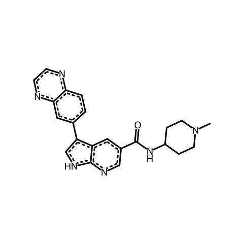 CN1CCC(NC(=O)c2cnc3[nH]cc(-c4ccc5nccnc5c4)c3c2)CC1